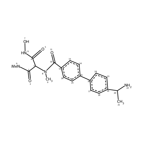 CNC(=O)C(C(=O)NO)N(C)C(=O)c1ccc(-c2ccc(C(C)N)cc2)cc1